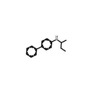 CCC(C)Nc1ccc(-c2ccccc2)cc1